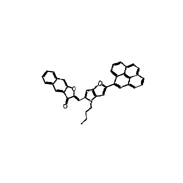 CCCCn1c(/C=C2\Oc3cc4ccccc4cc3C2=O)cc2oc(-c3cc4cccc5ccc6cccc3c6c54)cc21